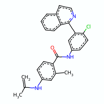 C=C(C)Nc1ccc(C(=O)Nc2ccc(Cl)c(-c3nccc4ccccc34)c2)c(C)c1